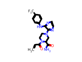 C=CC(=O)N1CCN(c2nccnc2Nc2ccc(C(F)(F)F)cc2)CC1C(N)=O